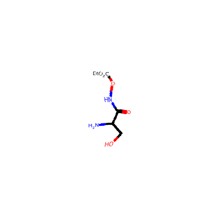 CCOC(=O)ONC(=O)C(N)CO